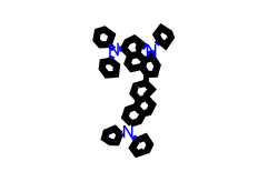 c1ccc(N(c2ccccc2)c2ccc3c(ccc4cc(-c5ccc6c7c5ccc5c(N(c8ccccc8)c8ccccc8)ccc(c57)n6-c5ccccc5)ccc43)c2)cc1